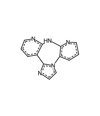 c1cnc2c(c1)-c1nccn1-c1cccnc1N2